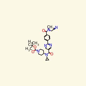 CN(CC#N)C(=O)c1ccc(-c2ncc(C(=O)N(C3CC3)C3CCN(C(=O)OC(C)(C)C)CC3)cn2)cc1